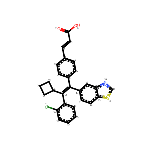 O=C(O)C=Cc1ccc(C(=C(c2ccccc2Cl)C2CCC2)c2ccc3scnc3c2)cc1